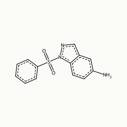 Nc1ccc2c(cnn2S(=O)(=O)c2ccccc2)c1